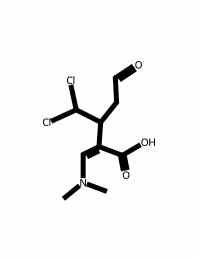 CN(C)C=C(C(=O)O)C(CC=O)C(Cl)Cl